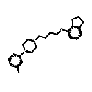 Clc1cccc(N2CCN(CCCCOc3cccc4c3CCC4)CC2)c1